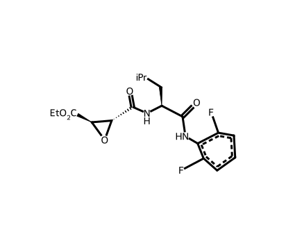 CCOC(=O)[C@@H]1O[C@H]1C(=O)N[C@@H](CC(C)C)C(=O)Nc1c(F)cccc1F